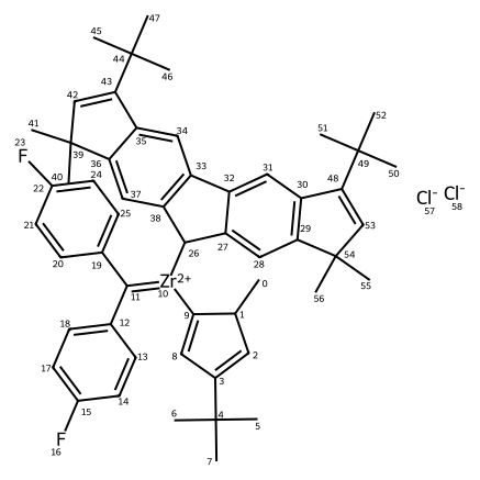 CC1C=C(C(C)(C)C)C=[C]1[Zr+2](=[C](c1ccc(F)cc1)c1ccc(F)cc1)[CH]1c2cc3c(cc2-c2cc4c(cc21)C(C)(C)C=C4C(C)(C)C)C(C(C)(C)C)=CC3(C)C.[Cl-].[Cl-]